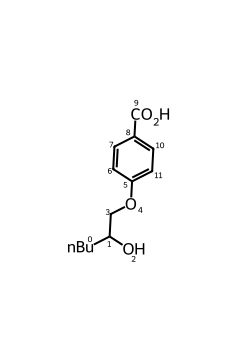 CCCCC(O)COc1ccc(C(=O)O)cc1